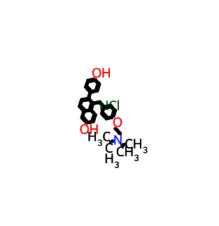 CC(C)N(CCOc1ccc(Cc2c(-c3ccc(O)cc3)ccc3cc(O)ccc23)cc1)C(C)C.Cl